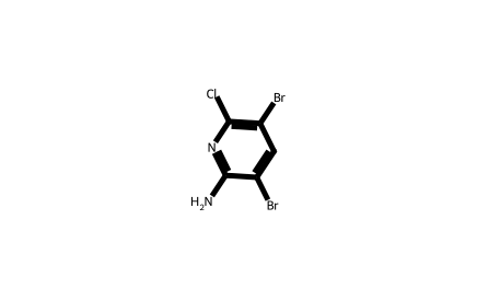 Nc1nc(Cl)c(Br)cc1Br